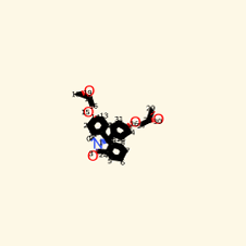 CN1C(=O)c2ccccc2C1(c1ccc(OCC2CO2)cc1)c1ccc(OCC2CO2)cc1